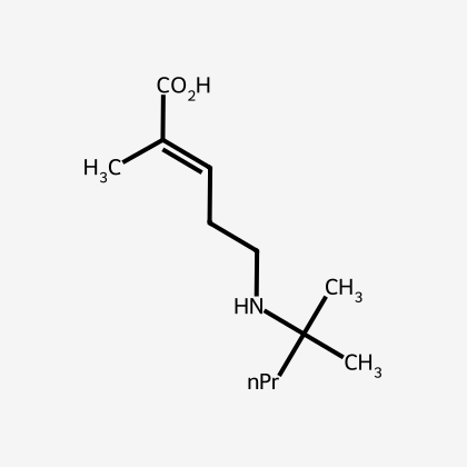 CCCC(C)(C)NCCC=C(C)C(=O)O